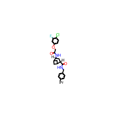 CC(C)c1ccc(CNC(=O)[C@@H]2C[C@H](NC(=O)COc3ccc(Cl)c(F)c3)C3CC2C3)cc1